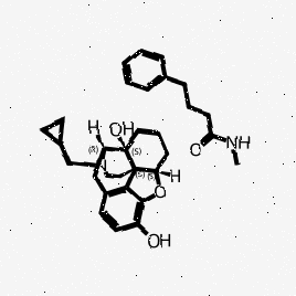 CNC(=O)CCCc1ccccc1.Oc1ccc2c3c1O[C@H]1CCC[C@@]4(O)[C@@H](C2)N(CC2CC2)CC[C@]314